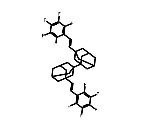 Fc1c(F)c(F)c(C=CC23CC4CC(C2)CC(C25CC6CC(CC(C=Cc7c(F)c(F)c(F)c(F)c7F)(C6)C2)C5)(C4)C3)c(F)c1F